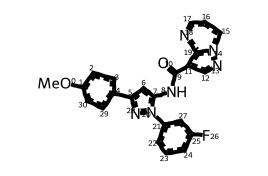 COc1ccc(-c2cc(NC(=O)c3cnn4cccnc34)n(-c3cccc(F)c3)n2)cc1